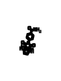 NC(=O)c1ccc(N2C(=O)[C@@H]3[C@H](C2=O)[C@@H]2C=C[C@H]3C2)cc1